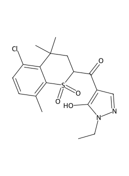 CCn1ncc(C(=O)C2CC(C)(C)c3c(Cl)ccc(C)c3S2(=O)=O)c1O